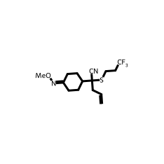 C=CCC(C#N)(SCCC(F)(F)F)C1CCC(=NOC)CC1